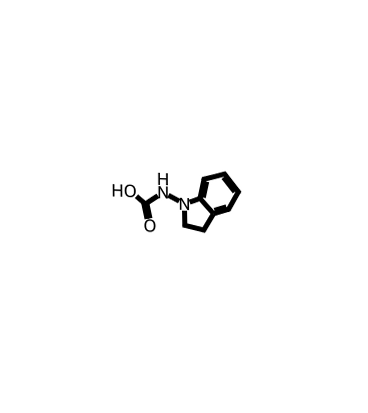 O=C(O)NN1CCc2ccccc21